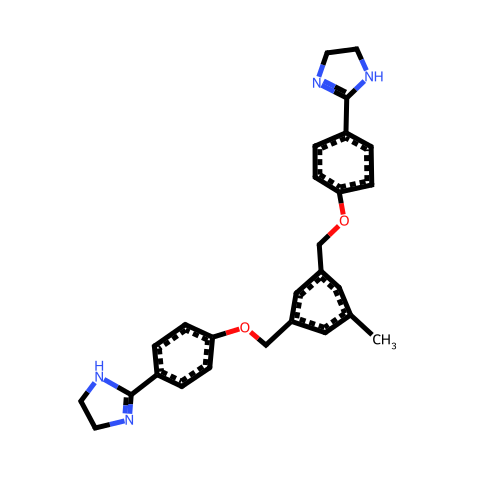 Cc1cc(COc2ccc(C3=NCCN3)cc2)cc(COc2ccc(C3=NCCN3)cc2)c1